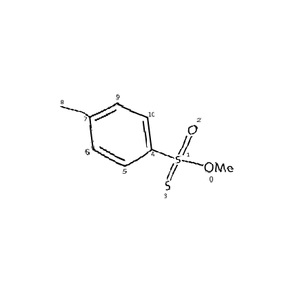 COS(=O)(=S)c1ccc(C)cc1